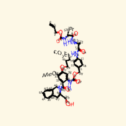 C=CCOC(=O)NC(C(=O)NC(C)C(=O)Nc1ccc(COC(=O)Nc2cc(OCCCC(=O)OCC)c(OC)cc2C(=O)N2Cc3ccccc3CC2CO)cc1)C(C)C